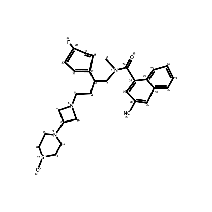 CN(CC(CCN1CC(N2CC[S+]([O-])CC2)C1)c1ccc(F)cc1)C(=O)c1cc(C#N)cc2ccccc12